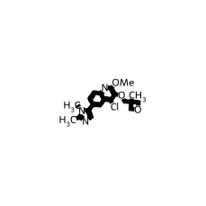 COc1nc2ccc(-c3cnc(C)n3C)cc2c(Cl)c1OCC1(C)COC1